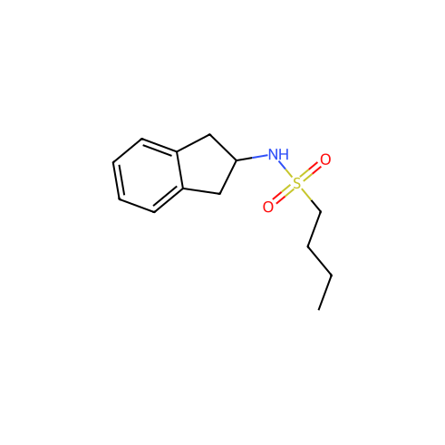 CCCCS(=O)(=O)NC1Cc2ccccc2C1